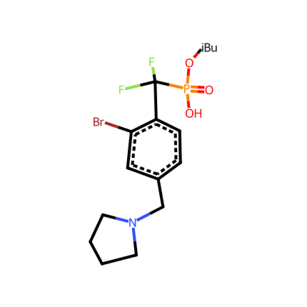 CCC(C)OP(=O)(O)C(F)(F)c1ccc(CN2CCCC2)cc1Br